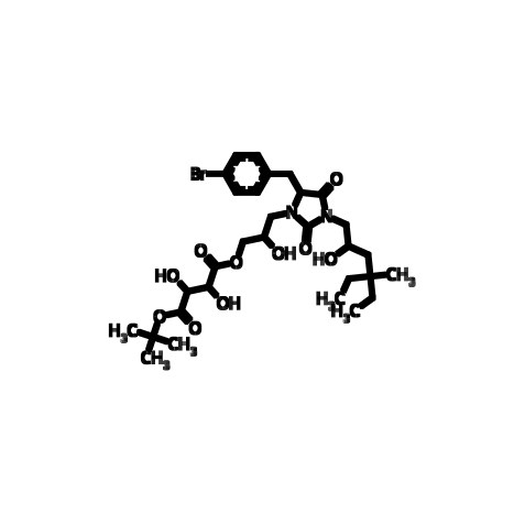 CCC(C)(CC)CC(O)CN1C(=O)C(Cc2ccc(Br)cc2)N(CC(O)COC(=O)C(O)C(O)C(=O)OC(C)(C)C)C1=O